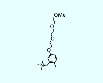 COCCOCCOCCOc1ccc(C)c(C[N+](C)(C)C)c1